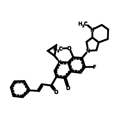 COc1c(N2CC3CCCN(C)C3C2)c(F)cc2c(=O)c(C(=O)C=Cc3ccccc3)cn(C3CC3)c12